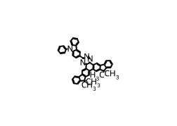 CC1(C)c2ccccc2-c2cc3c(cc21)c1cc2c(cc1c1nc(-c4ccc5c(c4)c4ccccc4n5-c4ccccc4)nnc31)-c1ccccc1C2(C)C